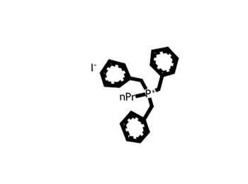 CCC[P+](Cc1ccccc1)(Cc1ccccc1)Cc1ccccc1.[I-]